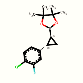 CC1(C)OB([C@H]2C[C@@H]2c2ccc(Cl)c(F)c2)OC1(C)C